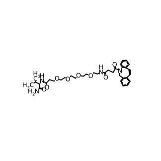 CC(C)C(NC(=O)CCOCCOCCOCCOCCNC(=O)CCC(=O)N1Cc2ccccc2C#Cc2ccccc21)C(N)=O